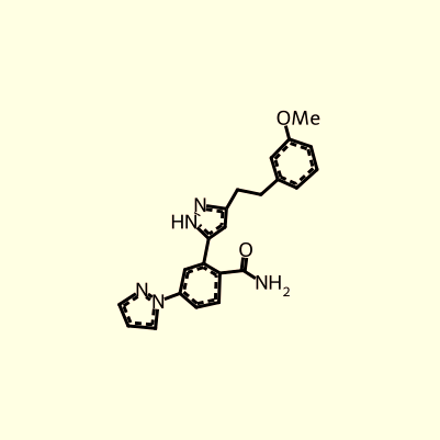 COc1cccc(CCc2cc(-c3cc(-n4cccn4)ccc3C(N)=O)[nH]n2)c1